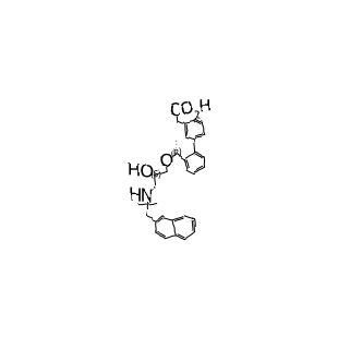 C[C@@H](OC[C@@H](O)CNC(C)(C)Cc1ccc2ccccc2c1)c1ccccc1-c1cccc(CC(=O)O)c1